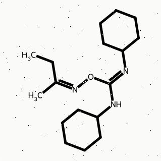 CCC(C)=NOC(=NC1CCCCC1)NC1CCCCC1